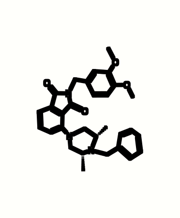 COc1ccc(CN2C(=O)c3cccc(N4C[C@@H](C)N(Cc5ccccc5)[C@@H](C)C4)c3C2=O)cc1OC